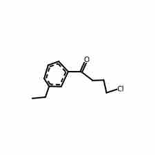 CCc1cccc(C(=O)CCCCl)c1